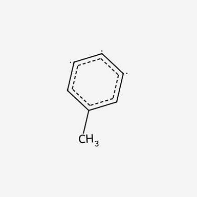 Cc1c[c][c][c]c1